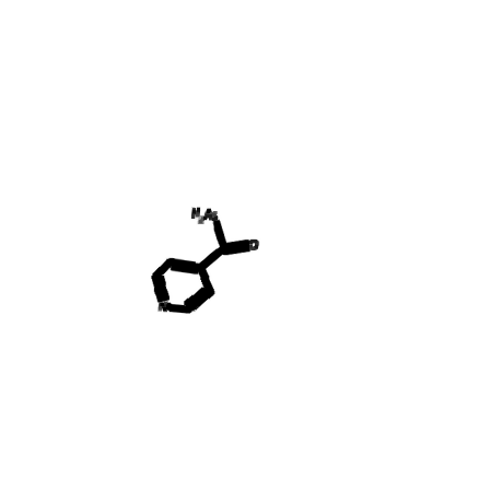 O=C([AsH2])c1ccncc1